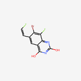 Oc1nc(O)c2cc(/C=C\F)c(Br)c(F)c2n1